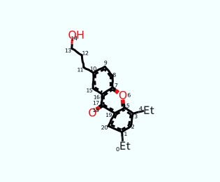 CCc1cc(CC)c2oc3ccc(CCCO)cc3c(=O)c2c1